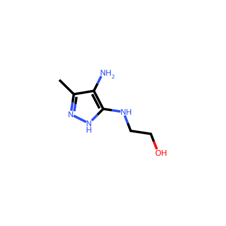 Cc1n[nH]c(NCCO)c1N